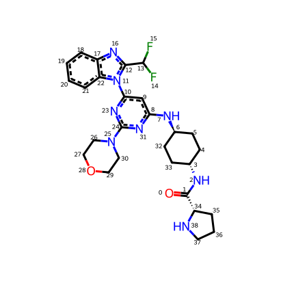 O=C(N[C@H]1CC[C@H](Nc2cc(-n3c(C(F)F)nc4ccccc43)nc(N3CCOCC3)n2)CC1)[C@@H]1CCCN1